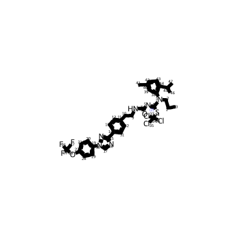 CCCN(/C(=N/C(=O)NCCc1ccc(-c2ncn(-c3ccc(OC(F)(F)F)cc3)n2)cc1)SC(Cl)(Cl)Cl)c1cc(C)ccc1C(C)C